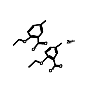 CCOc1ccc(C)cc1C(=O)[O-].CCOc1ccc(C)cc1C(=O)[O-].[Zn+2]